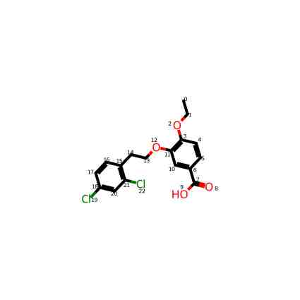 CCOc1ccc(C(=O)O)cc1OCCc1ccc(Cl)cc1Cl